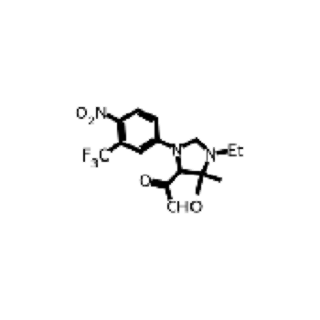 CCN1CN(c2ccc([N+](=O)[O-])c(C(F)(F)F)c2)C(C(=O)C=O)C1(C)C